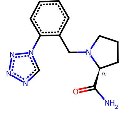 NC(=O)[C@@H]1CCCN1Cc1ccccc1-n1cnnn1